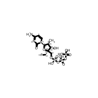 C[C@@H]1[C@H](n2ccc(N)nc2=O)O[C@](CF)(COP(=O)(O)OP(=O)(O)OP(=O)(O)O)[C@H]1O